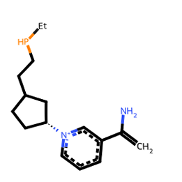 C=C(N)c1ccc[n+]([C@@H]2CCC(CCPCC)C2)c1